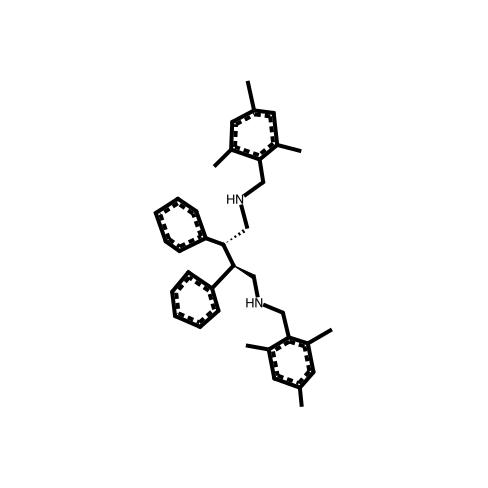 Cc1cc(C)c(CNC[C@@H](c2ccccc2)[C@@H](CNCc2c(C)cc(C)cc2C)c2ccccc2)c(C)c1